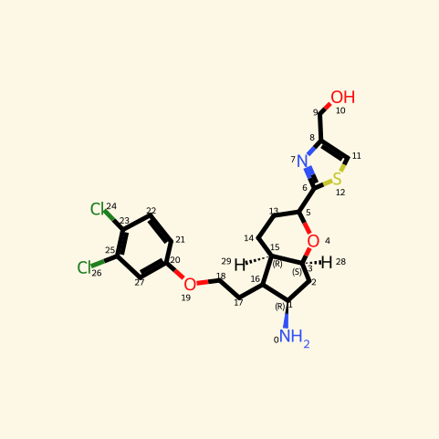 N[C@@H]1C[C@@H]2OC(c3nc(CO)cs3)CC[C@@H]2C1CCOc1ccc(Cl)c(Cl)c1